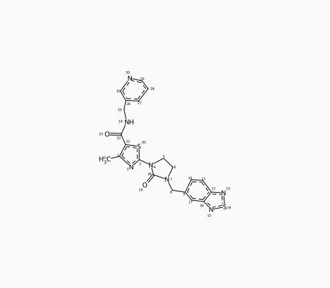 Cc1nc(N2CCN(Cc3ccc4nsnc4c3)C2=O)sc1C(=O)NCc1cccnc1